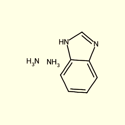 N.N.c1ccc2[nH]cnc2c1